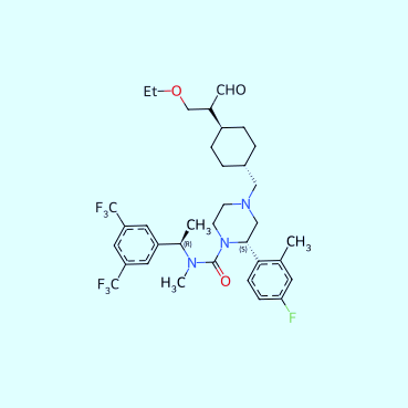 CCOCC(C=O)[C@H]1CC[C@H](CN2CCN(C(=O)N(C)[C@H](C)c3cc(C(F)(F)F)cc(C(F)(F)F)c3)[C@@H](c3ccc(F)cc3C)C2)CC1